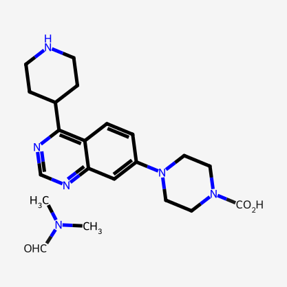 CN(C)C=O.O=C(O)N1CCN(c2ccc3c(C4CCNCC4)ncnc3c2)CC1